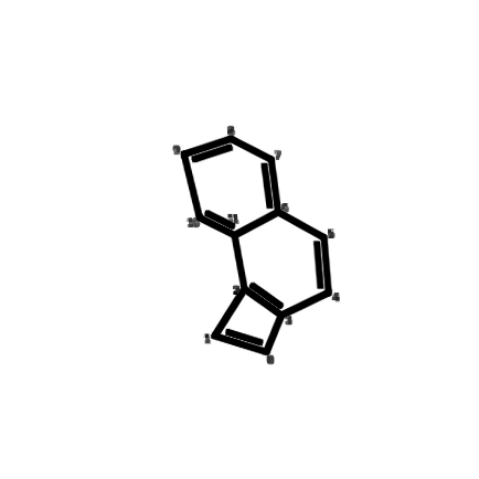 C1=Cc2c1ccc1ccccc21